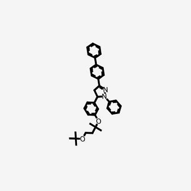 CC(C)(C)OCCC(C)(C)Oc1cccc(C2CC(c3ccc(-c4ccccc4)cc3)=NN2c2ccccc2)c1